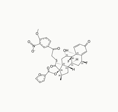 COc1ccc(C(=O)CSC(=O)[C@@]2(OC(=O)c3ccco3)[C@H](C)C[C@H]3[C@@H]4C[C@H](F)C5=CC(=O)C=C[C@]5(C)[C@@]4(F)[C@@H](O)C[C@@]32C)cc1[N+](=O)[O-]